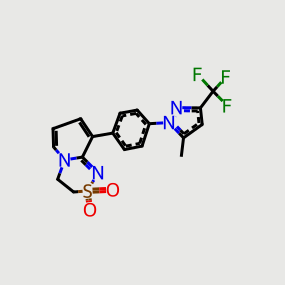 Cc1cc(C(F)(F)F)nn1-c1ccc(C2=CC=CN3CCS(=O)(=O)N=C23)cc1